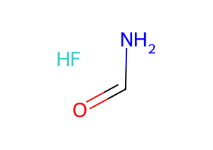 F.NC=O